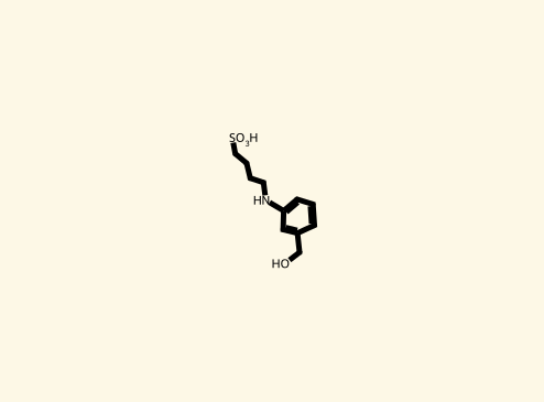 O=S(=O)(O)CCCCNc1cccc(CO)c1